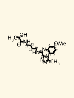 COc1ccc2c(c1)nc(NCCCCNC(=O)C(C)O)c1nnc(C)n12